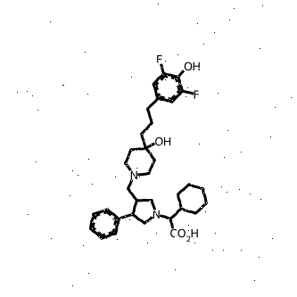 O=C(O)C(C1CCCCC1)N1CC(CN2CCC(O)(CCCc3cc(F)c(O)c(F)c3)CC2)C(c2ccccc2)C1